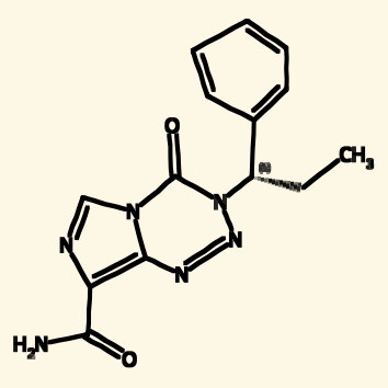 CC[C@@H](c1ccccc1)n1nnc2c(C(N)=O)ncn2c1=O